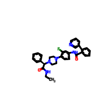 CCNC(=O)[C@@H](c1ccccc1)N1CCN(c2ccc(NC(=O)c3ccccc3-c3cccnc3)cc2F)CC1